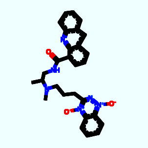 CC(CNC(=O)c1cccc2cc3ccccc3nc12)N(C)CCCc1n[n+]([O-])c2ccccc2[n+]1[O-]